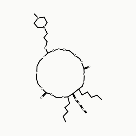 C=C=C=C=C1C(CCCCC)CCOC(=O)CCCCCCCC(OCCCN2CCN(C)CC2)CCCCCCCC(=O)OCCC1CCCCC